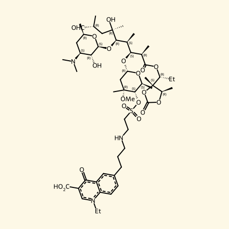 CC[C@@H](OC(=O)[C@H](C)[C@@H](O[C@H]1C[C@@](C)(OC)[C@@H](OS(=O)(=O)CCNCCCc2ccc3c(c2)c(=O)c(C(=O)O)cn3CC)[C@H](C)O1)[C@H](C)[C@@H](O[C@@H]1O[C@H](C)C[C@H](N(C)C)[C@H]1O)[C@](C)(O)C[C@@H](C)C=O)[C@@]1(C)OC(=O)O[C@@H]1C